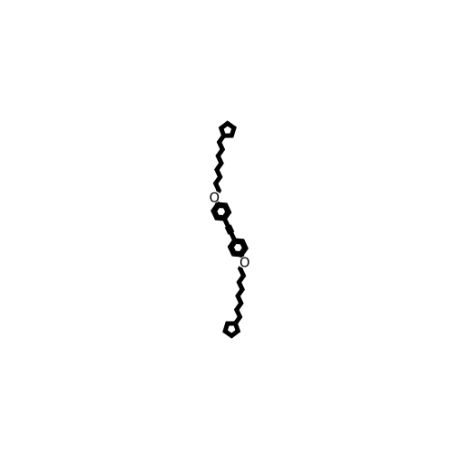 C(#Cc1ccc(OCCCCCCCCC2CCCC2)cc1)c1ccc(OCCCCCCCCC2CCCC2)cc1